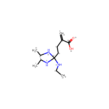 C=C(CCC(NCC)(NCC)NCC)C(=O)O